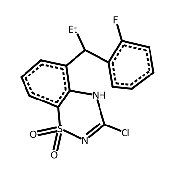 CCC(c1ccccc1F)c1cccc2c1NC(Cl)=NS2(=O)=O